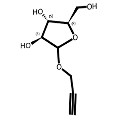 C#CCOC1O[C@H](CO)[C@@H](O)[C@@H]1O